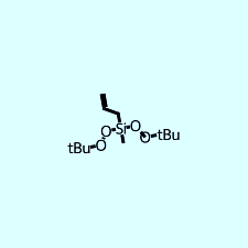 C=CC[Si](C)(OOC(C)(C)C)OOC(C)(C)C